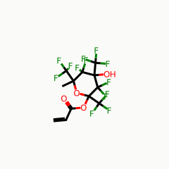 C=CC(=O)OC1(C(F)(F)F)OC(C)(C(F)(F)F)C(F)(F)C(O)(C(F)(F)F)C1(F)F